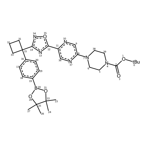 CC(C)(C)OC(=O)N1CCN(c2cnc(-c3nc(C4(c5ccc(B6OC(C)(C)C(C)(C)O6)cc5)CCC4)no3)cn2)CC1